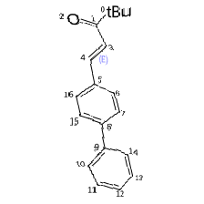 CC(C)(C)C(=O)/C=C/c1ccc(-c2ccccc2)cc1